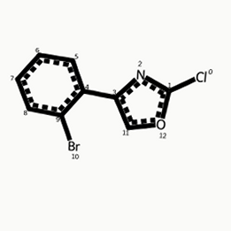 Clc1nc(-c2ccccc2Br)co1